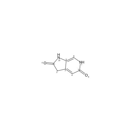 O=C1Cc2cc(=O)[nH]cc2N1